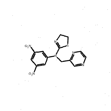 O=[N+]([O-])c1cc(N(Cc2cnccn2)C2=NCCS2)cc([N+](=O)[O-])c1